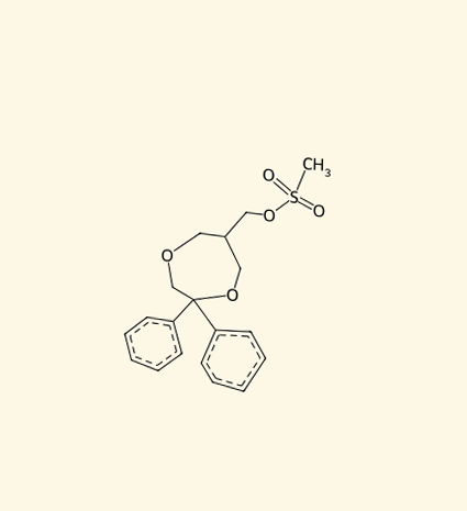 CS(=O)(=O)OCC1COCC(c2ccccc2)(c2ccccc2)OC1